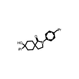 CC(C)c1ccc(N2CCC3(CCC(O)(C(C)C)CC3)C2=O)cc1